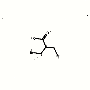 [O]C(=O)C(CBr)CBr